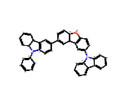 C1=CC2c3cc(C4=CC5c6cc(-n7c8ccccc8c8ccccc87)ccc6OC5C=C4)ccc3N(c3ccccc3)C2C=C1